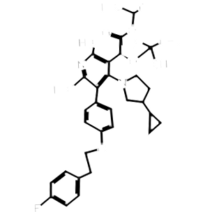 Cc1nc(C)c([C@H](OC(C)(C)C)C(=O)OC(C)C)c(N2CCC(C3CC3)C2)c1-c1ccc(OCCc2ccc(F)cc2)cc1